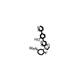 CN[C@@H]1CCC[C@H](F)[C@H](N2CCOc3cc(-c4ccc(-c5cccnn5)cc4O)nnc32)C1